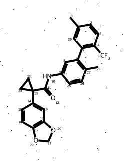 Cc1ccc(C(F)(F)F)c(-c2cc(NC(=O)C3(c4ccc5c(c4)OCO5)CC3)ccc2C)c1